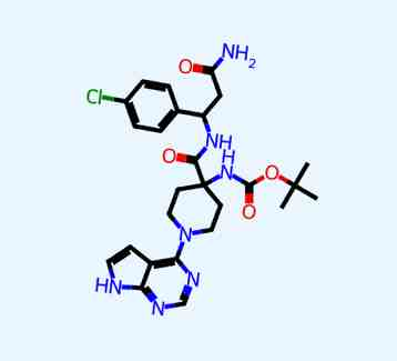 CC(C)(C)OC(=O)NC1(C(=O)NC(CC(N)=O)c2ccc(Cl)cc2)CCN(c2ncnc3[nH]ccc23)CC1